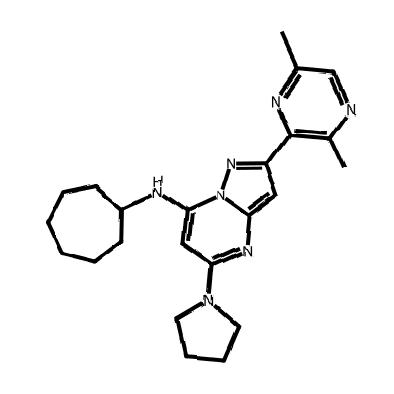 Cc1cnc(C)c(-c2cc3nc(N4CCCC4)cc(NC4CCCCCC4)n3n2)n1